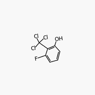 Oc1cccc(F)c1C(Cl)(Cl)Cl